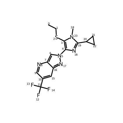 CCSc1c(-n2cc3ncc(C(F)(F)F)cc3n2)nc(C2CC2)n1C